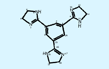 c1c(C2=NCCN2)cc(C2=NCCN2)cc1C1=NCCN1